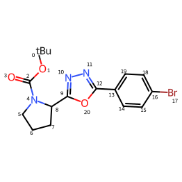 CC(C)(C)OC(=O)N1CCCC1c1nnc(-c2ccc(Br)cc2)o1